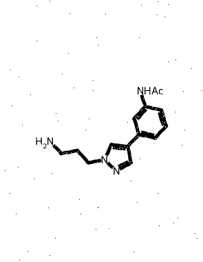 CC(=O)Nc1cccc(-c2cnn(CCCN)c2)c1